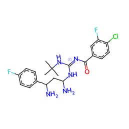 CC(C)(C)N/C(=N/C(=O)c1ccc(Cl)c(F)c1)NC(N)CC(N)c1ccc(F)cc1